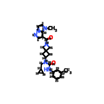 Cn1ccn2ncc(C(=O)N3CC4(CC(N(CC5CC5)C(=O)Nc5cccc(C(F)(F)F)c5)C4)C3)c12